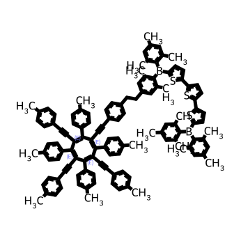 Cc1ccc(C#CC2=C(c3ccc(C)cc3)/C(C#Cc3ccc(C)cc3)=C(c3ccc(C)cc3)\C(C#Cc3ccc(CCc4cc(C)c(B(c5ccc(-c6ccc(-c7ccc(B(c8c(C)cc(C)cc8C)c8c(C)cc(C)cc8C)s7)s6)s5)c5c(C)cc(C)cc5C)c(C)c4)cc3)=C(c3ccc(C)cc3)/C(C#Cc3ccc(C)cc3)=C\2c2ccc(C)cc2)cc1